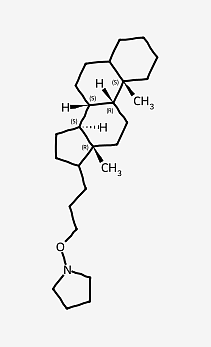 C[C@]12CCCCC1CC[C@@H]1[C@H]2CC[C@]2(C)C(CCCON3CCCC3)CC[C@@H]12